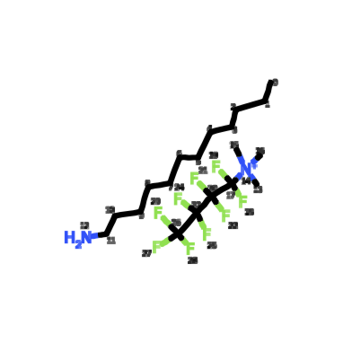 CCCCCCCCCCCCN.C[N+](C)(C)C(F)(F)C(F)(F)C(F)(F)C(F)(F)F